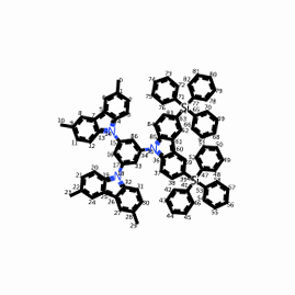 Cc1ccc2c(c1)c1cc(C)ccc1n2-c1cc(-n2c3ccc(C)cc3c3cc(C)ccc32)cc(-n2c3ccc([Si](c4ccccc4)(c4ccccc4)c4ccccc4)cc3c3cc([Si](c4ccccc4)(c4ccccc4)c4ccccc4)ccc32)c1